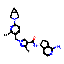 Cc1nc(N2CC3CC3C2)ccc1Cn1cc(C(=O)N[C@@H]2CCc3c2ccnc3N)c(C(C)C)n1